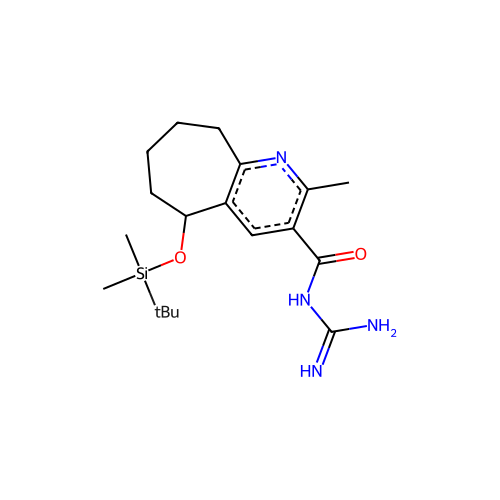 Cc1nc2c(cc1C(=O)NC(=N)N)C(O[Si](C)(C)C(C)(C)C)CCCC2